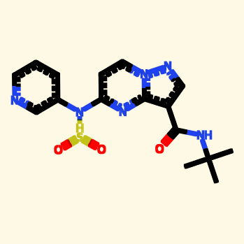 CC(C)(C)NC(=O)c1cnn2ccc(N(c3cccnc3)[SH](=O)=O)nc12